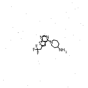 NC1CCCN(c2ncnc3sc(CC(F)(F)F)cc23)CC1